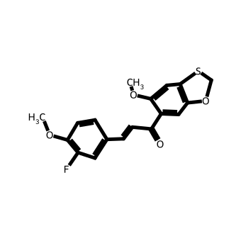 COc1ccc(C=CC(=O)c2cc3c(cc2OC)SCO3)cc1F